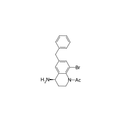 CC(=O)N1CC[C@@H](N)c2cc(Cc3ccccc3)cc(Br)c21